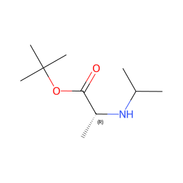 CC(C)N[C@H](C)C(=O)OC(C)(C)C